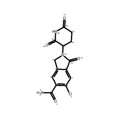 NC(=O)c1cc2c(cc1Cl)C(=O)N(C1CCC(=O)NC1=O)C2